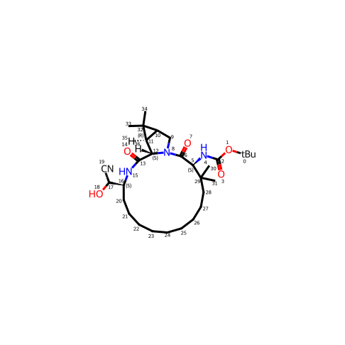 CC(C)(C)OC(=O)N[C@@H]1C(=O)N2CC3[C@@H]([C@H]2C(=O)N[C@H](C(O)C#N)CCCCCCCCCC1(C)C)C3(C)C